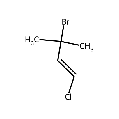 CC(C)(Br)C=CCl